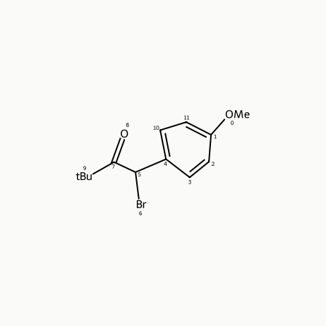 COc1ccc(C(Br)C(=O)C(C)(C)C)cc1